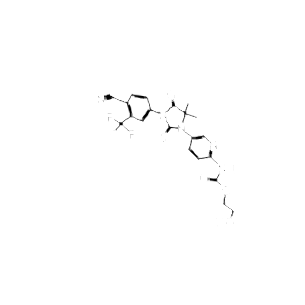 CC1(C)C(=O)N(c2ccc(C#N)c(C(F)(F)F)c2)C(=S)N1c1ccc(NC(=O)OCCO)nc1